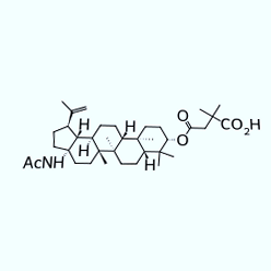 C=C(C)[C@@H]1CC[C@]2(NC(C)=O)CC[C@]3(C)[C@H](CC[C@@H]4[C@@]5(C)CC[C@H](OC(=O)CC(C)(C)C(=O)O)C(C)(C)[C@@H]5CC[C@]43C)[C@@H]12